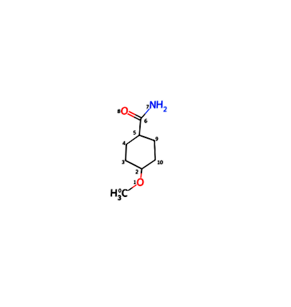 COC1CCC(C(N)=O)CC1